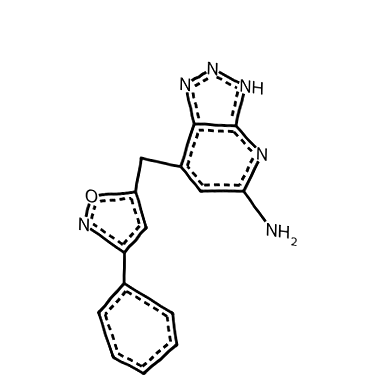 Nc1cc(Cc2cc(-c3ccccc3)no2)c2nn[nH]c2n1